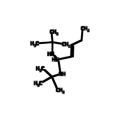 CCC=C[SiH](NC(C)(C)C)NC(C)(C)C